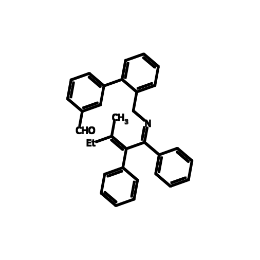 CC/C(C)=C(/C(=N\Cc1ccccc1-c1cccc(C=O)c1)c1ccccc1)c1ccccc1